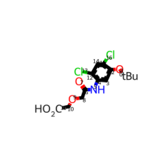 CC(C)(C)Oc1cc(NC(=O)COCC(=O)O)c(Cl)cc1Cl